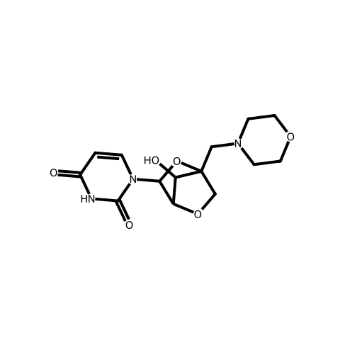 O=c1ccn(C2OC3(CN4CCOCC4)COC2C3O)c(=O)[nH]1